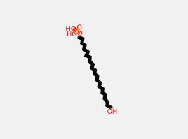 O=P(O)(O)OCCCCCCCCCCCCCCCCCCCCCCCCO